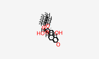 [2H]C([2H])([2H])C([2H])([2H])C([2H])([2H])[C@]1([2H])O[C@@H]2C[C@H]3[C@@H]4CCC5=CC(=O)C=C[C@]5(C)[C@H]4[C@@H](O)C[C@]3(C)[C@]2(C(=O)CO)O1